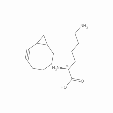 C1#CC2CC2CCCC1.NCCCC[C@H](N)C(=O)O